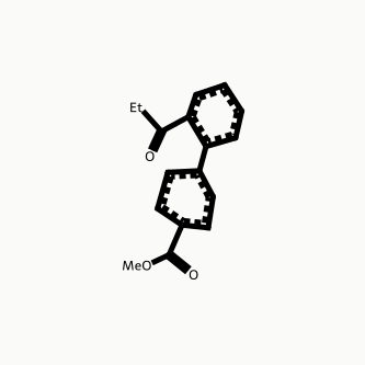 CCC(=O)c1ccccc1-c1ccc(C(=O)OC)cc1